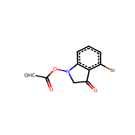 O=CC(=O)ON1CC(=O)c2c(Br)cccc21